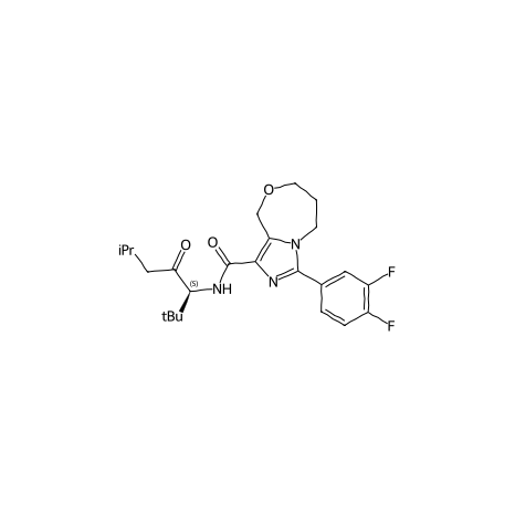 CC(C)CC(=O)[C@@H](NC(=O)c1nc(-c2ccc(F)c(F)c2)n2c1COCCC2)C(C)(C)C